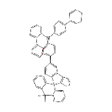 CC1(C)c2ccccc2C2(C3=C(C=CCC3)c3cc(-c4ccc(N(c5ccc(C6=CCCC=C6)cc5)c5ccccc5-c5ccccc5)cc4)ccc32)c2ccccc21